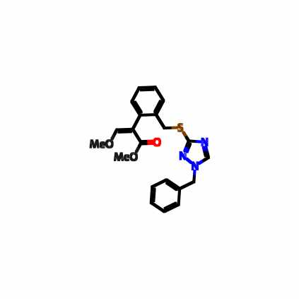 COC=C(C(=O)OC)c1ccccc1CSc1ncn(Cc2ccccc2)n1